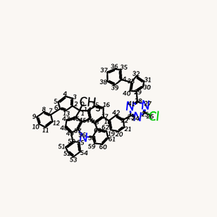 CC1(c2cccc(-c3ccccc3)c2)c2ccc(-c3cccc(-c4nc(Cl)nc(-c5cccc(-c6ccccc6)c5)n4)c3)c3c2-c2c1ccc1c4ccccc4n(c21)-c1ccccc1-3